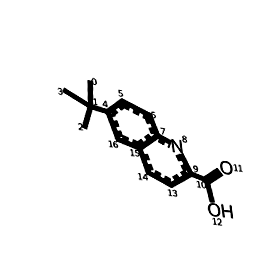 CC(C)(C)c1ccc2nc(C(=O)O)ccc2c1